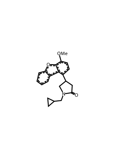 COc1ccc(C2CC(=O)N(CC3CC3)C2)c2c1oc1ccccc12